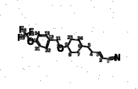 N#CC=CCCC1CCC(OCc2ccc(OC(F)(F)F)cc2)CC1